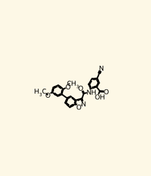 COc1ccc(OC)c(-c2ccc3onc(C(=O)Nc4ccc(C#N)cc4C(=O)O)c3c2)c1